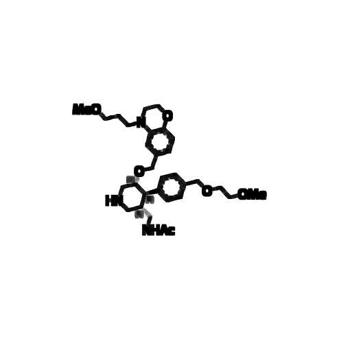 COCCCN1CCOc2ccc(CO[C@H]3CNC[C@@H](CNC(C)=O)[C@@H]3c3ccc(COCCOC)cc3)cc21